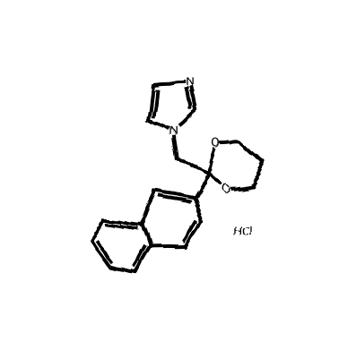 Cl.c1ccc2cc(C3(Cn4ccnc4)OCCCO3)ccc2c1